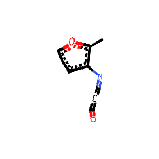 Cc1occc1N=C=O